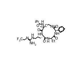 CC[C@@H]1NC(=O)[C@H](CCCN/C(N)=N/CC(F)(F)F)NC(=O)[C@](C)(NC(=O)C(C)C)CCNC(=O)[C@@H](c2ccccc2)NC1=O